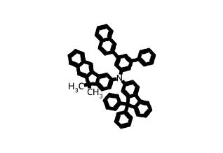 CC1(C)c2ccc(N(c3cc(-c4ccccc4)cc(-c4ccc5ccccc5c4)c3)c3ccc4c(c3)C(c3ccccc3)(c3ccccc3)c3ccccc3-4)cc2-c2cc3ccccc3cc21